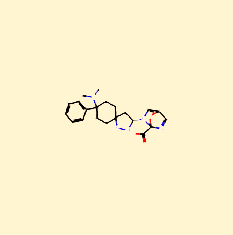 CN(C)C1(c2ccccc2)CCC2(CC1)C[C@@H](N1C=C3C=NC1(C(=O)[O-])O3)NN2.[Li+]